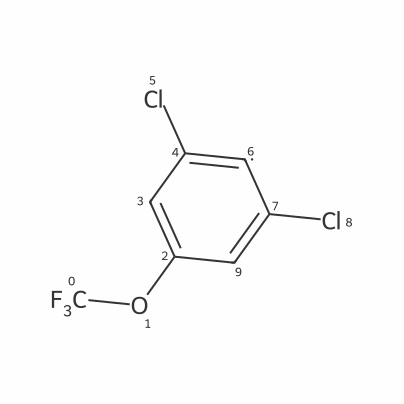 FC(F)(F)Oc1cc(Cl)[c]c(Cl)c1